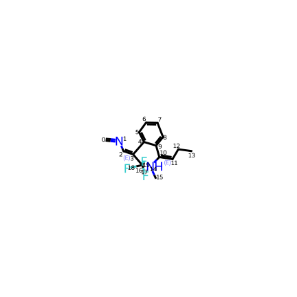 C=N/C=C(\c1ccccc1/C(=C\CC)NC)C(F)(F)F